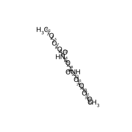 CCCOCCOCCOCC(=O)NCCOCCC(=O)NCCOCCOCCOCCOC